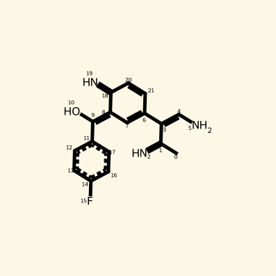 CC(=N)/C(=C\N)C1=C/C(=C(/O)c2ccc(F)cc2)C(=N)C=C1